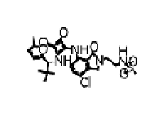 Cc1ccc([C@H](Nc2c(Nc3ccc(Cl)c4c3C(=O)N(CCNS(C)(=O)=O)C4)c(=O)c2=O)C(C)(C)C)o1